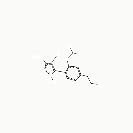 CCOC(=O)c1nn(CC)c(-c2ccc(CCC(F)(F)F)cc2OC(F)F)c1Cl